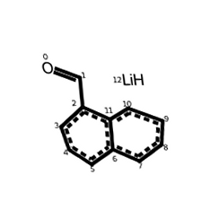 O=Cc1cccc2ccccc12.[LiH]